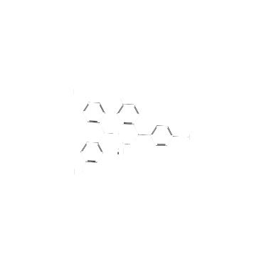 O=[PH](OC(c1ccc(O)cc1)c1ccc(O)cc1)OC(c1ccc(O)cc1)c1ccc(O)cc1